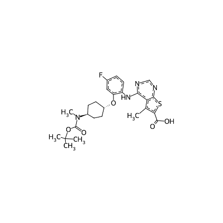 Cc1c(C(=O)O)sc2ncnc(Nc3ccc(F)cc3O[C@H]3CC[C@H](N(C)C(=O)OC(C)(C)C)CC3)c12